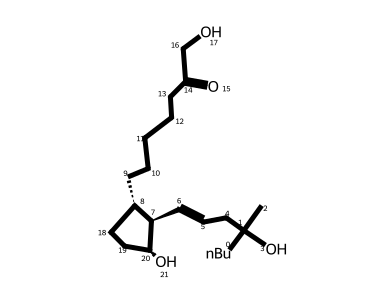 CCCCC(C)(O)C/C=C/[C@@H]1[C@@H](CCCCCC(=O)CO)CC[C@H]1O